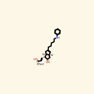 CCCCC[C@H](O)/C=C/[C@@H]1[C@H]2CC(CCCCCNc3ccccc3)=C[C@H]2C[C@H]1O